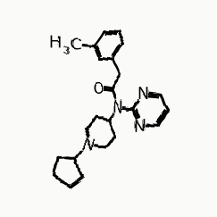 Cc1cccc(CC(=O)N(c2ncccn2)C2CCN(C3CCCC3)CC2)c1